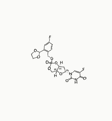 O=c1[nH]c(=O)n([C@H]2C[C@@H]3OP(=O)(OCc4ccc(F)cc4C4OCCO4)OC[C@H]3O2)cc1F